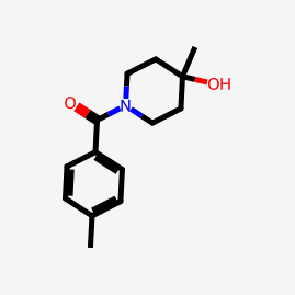 Cc1ccc(C(=O)N2CCC(C)(O)CC2)cc1